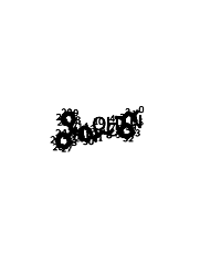 Cc1cc(C)c2c(OCC(O)CN3CCN(C(c4ccccc4)c4ccccc4)CC3)cccc2n1